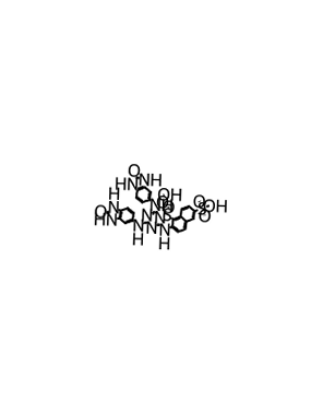 O=c1[nH]c2ccc(Nc3nc(Nc4ccc5[nH]c(=O)[nH]c5c4)nc(Nc4ccc5cc(S(=O)(=O)O)ccc5c4SOOO)n3)cc2[nH]1